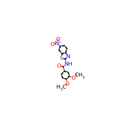 COc1ccc(C(=O)Nc2nc3ccc([N+](=O)[O-])cc3s2)cc1OC